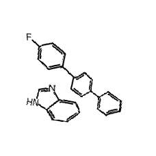 Fc1ccc(-c2ccc(-c3ccccc3)cc2)cc1.c1ccc2[nH]cnc2c1